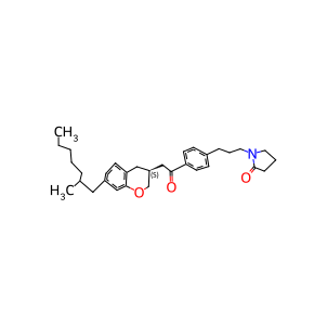 CCCCCC(C)Cc1ccc2c(c1)OC[C@H](CC(=O)c1ccc(CCCN3CCCC3=O)cc1)C2